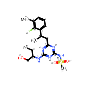 COc1cccc(C(C)Cc2nc(NC(CO)CC(C)C)nc(NS(C)(=O)=O)n2)c1F